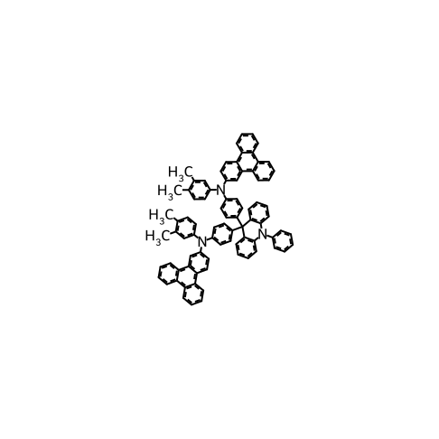 Cc1ccc(N(c2ccc(C3(c4ccc(N(c5ccc(C)c(C)c5)c5ccc6c7ccccc7c7ccccc7c6c5)cc4)c4ccccc4N(c4ccccc4)c4ccccc43)cc2)c2ccc3c4ccccc4c4ccccc4c3c2)cc1C